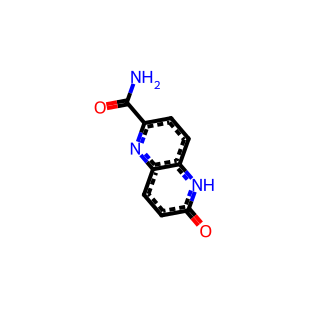 NC(=O)c1ccc2[nH]c(=O)ccc2n1